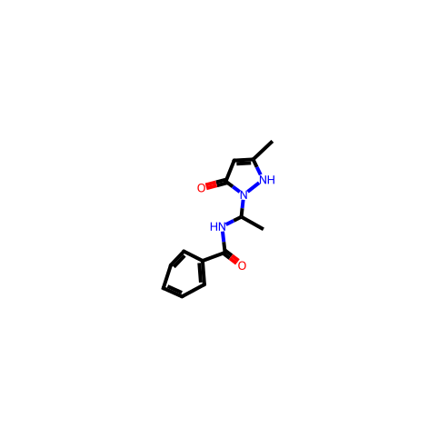 Cc1cc(=O)n(C(C)NC(=O)c2ccccc2)[nH]1